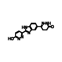 O=C1CCC(c2ccc3[nH]c(-c4ccc(O)nn4)nc3c2)=NN1